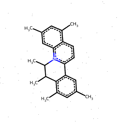 Cc1cc(C)c2c(c1)-c1ccc3c(C)cc(C)cc3[n+]1C(C)C2C